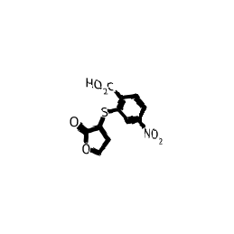 O=C(O)c1ccc([N+](=O)[O-])cc1SC1CCOC1=O